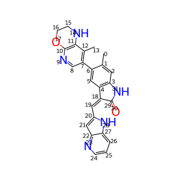 Cc1cc2c(cc1-c1cnc3c(c1C)NCCO3)C(=Cc1cc3ncccc3[nH]1)C(=O)N2